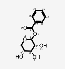 O=C(OC1OC[C@@H](O)[C@@H](O)[C@H]1O)c1ccccc1